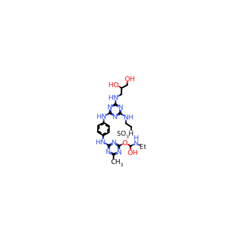 CCNC(O)Oc1nc(C)nc(Nc2ccc(Nc3nc(NCCS(=O)(=O)O)nc(NCC(O)CO)n3)cc2)n1